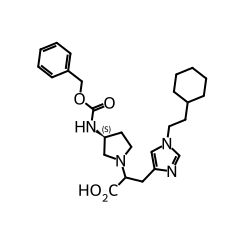 O=C(N[C@H]1CCN(C(Cc2cn(CCC3CCCCC3)cn2)C(=O)O)C1)OCc1ccccc1